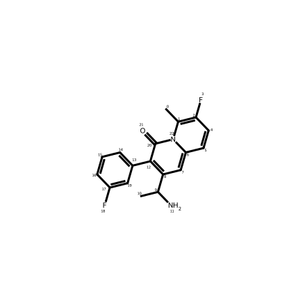 Cc1c(F)ccc2cc(C(C)N)c(-c3cccc(F)c3)c(=O)n12